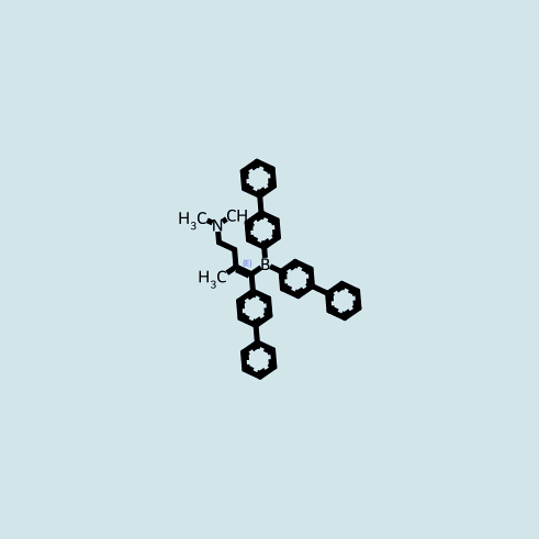 C/C(CCN(C)C)=C(/B(c1ccc(-c2ccccc2)cc1)c1ccc(-c2ccccc2)cc1)c1ccc(-c2ccccc2)cc1